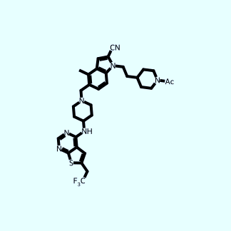 CC(=O)N1CCC(CCn2c(C#N)cc3c(C)c(CN4CCC(Nc5ncnc6sc(CC(F)(F)F)cc56)CC4)ccc32)CC1